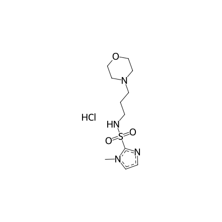 Cl.Cn1ccnc1S(=O)(=O)NCCCN1CCOCC1